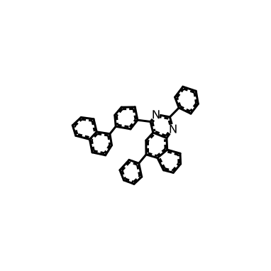 c1ccc(-c2nc(-c3cccc(-c4cccc5ccccc45)c3)c3cc(-c4ccccc4)c4ccccc4c3n2)cc1